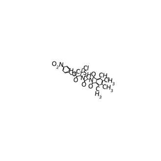 Cc1c(C)c(C)c2c(c1C)C(=O)N(C1C(=O)N3C(C(=O)OCc4ccc([N+](=O)[O-])cc4)[C@](C)(CCl)S[C@H]13)C2=O